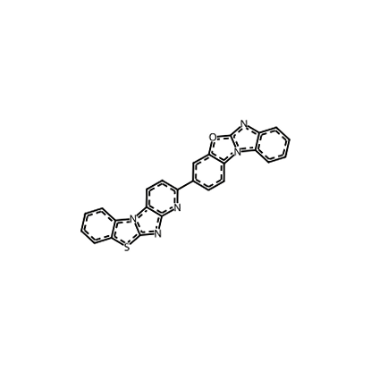 c1ccc2c(c1)nc1oc3cc(-c4ccc5c(n4)nc4sc6ccccc6n45)ccc3n12